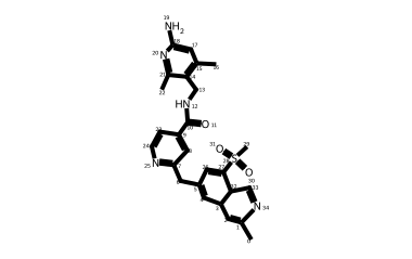 CC1=CC2C=C(Cc3cc(C(=O)NCc4c(C)cc(N)nc4C)ccn3)C=C(S(C)(=O)=O)C2C=N1